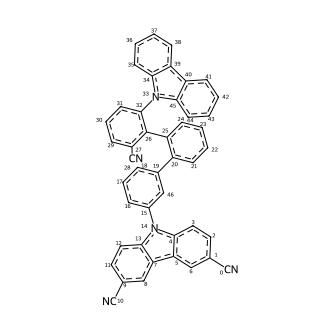 N#Cc1ccc2c(c1)c1cc(C#N)ccc1n2-c1cccc(-c2ccccc2-c2c(C#N)cccc2-n2c3ccccc3c3ccccc32)c1